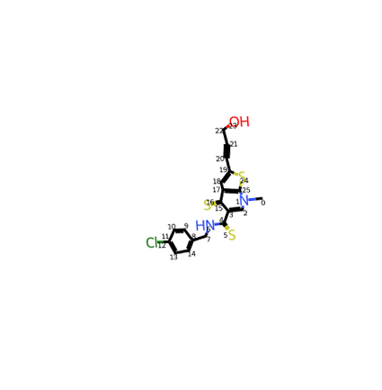 Cn1cc(C(=S)NCc2ccc(Cl)cc2)c(=S)c2cc(C#CCO)sc21